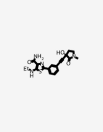 CCNc1sc(-c2cccc(C#C[C@]3(O)CCN(C)C3=O)c2)nc1C(N)=O